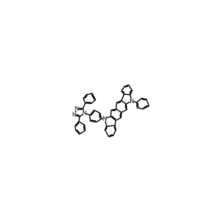 c1ccc(-c2nnc(-c3ccccc3)n2-c2ccc(-n3c4ccccc4c4cc5cc6c(cc5cc43)c3ccccc3n6-c3ccccc3)cc2)cc1